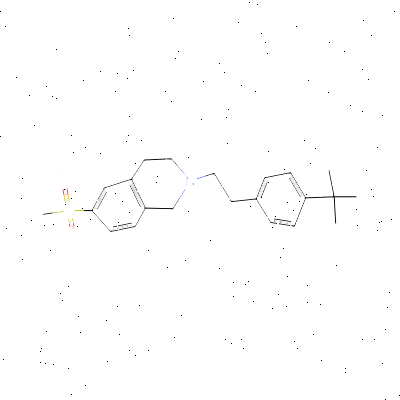 CC(C)(C)c1ccc(CCN2CCc3cc(S(C)(=O)=O)ccc3C2)cc1